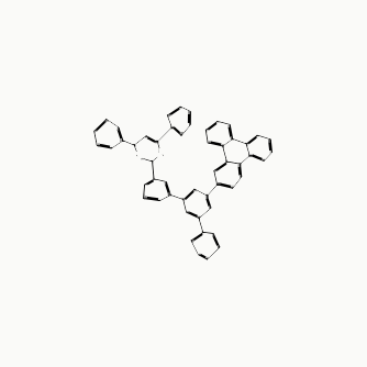 C1=C(c2ccccc2)NC(c2cccc(-c3cc(-c4ccccc4)cc(-c4ccc5c6ccccc6c6ccccc6c5c4)c3)c2)NC1c1ccccc1